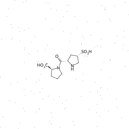 O=C(O)[C@@H]1CCCN1C(=O)[C@@H]1C[C@H](S(=O)(=O)O)CN1